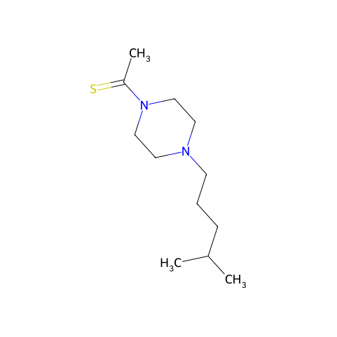 CC(=S)N1CCN(CCCC(C)C)CC1